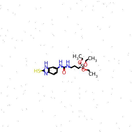 CCO[Si](CCCNC(=O)Nc1ccc2nc(S)[nH]c2c1)(OCC)OCC